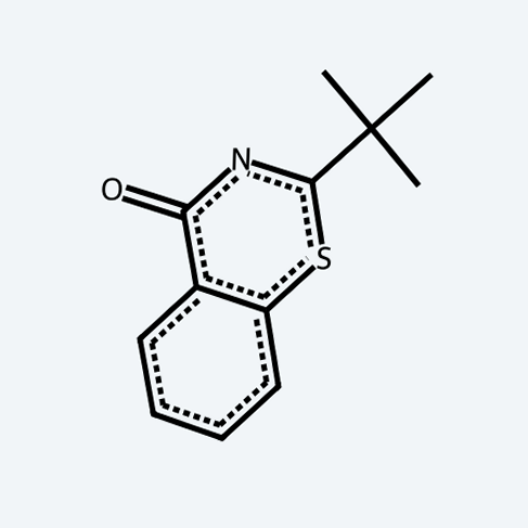 CC(C)(C)c1nc(=O)c2ccccc2s1